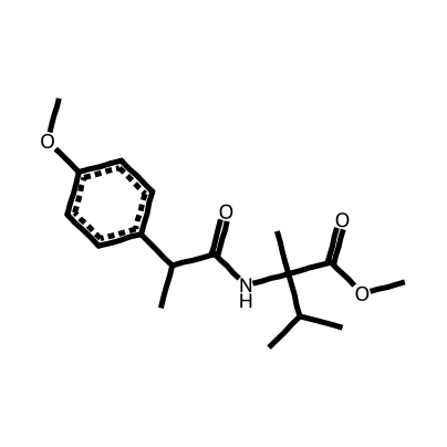 COC(=O)C(C)(NC(=O)C(C)c1ccc(OC)cc1)C(C)C